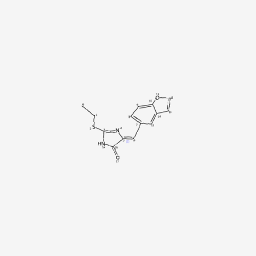 CCSC1=N/C(=C\c2ccc3occc3c2)C(=O)N1